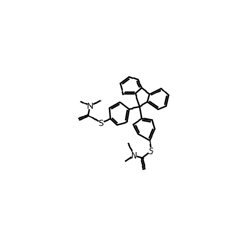 C=C(Sc1ccc(C2(c3ccc(SC(=C)N(C)C)cc3)c3ccccc3-c3ccccc32)cc1)N(C)C